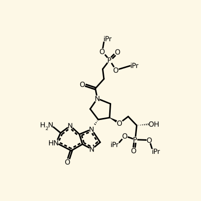 CC(C)OP(=O)(CCC(=O)N1C[C@@H](n2cnc3c(=O)[nH]c(N)nc32)[C@H](OC[C@H](O)P(=O)(OC(C)C)OC(C)C)C1)OC(C)C